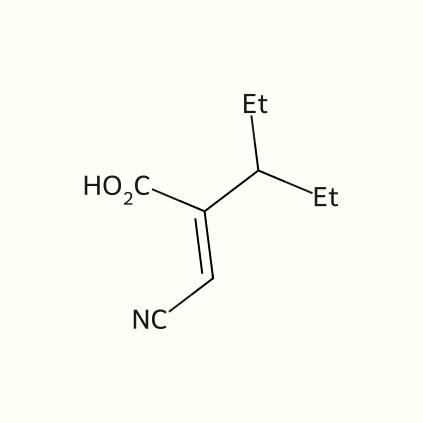 CCC(CC)C(=CC#N)C(=O)O